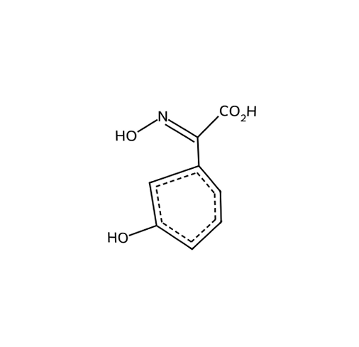 O=C(O)/C(=N/O)c1cccc(O)c1